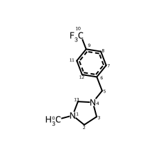 CN1CCN(Cc2ccc(C(F)(F)F)cc2)C1